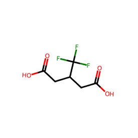 O=C(O)CC(CC(=O)O)C(F)(F)F